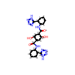 O=C(Nc1ccccc1-c1nnn[nH]1)c1cc(O)c(C(=O)Nc2ccccc2-c2nnn[nH]2)cc1O